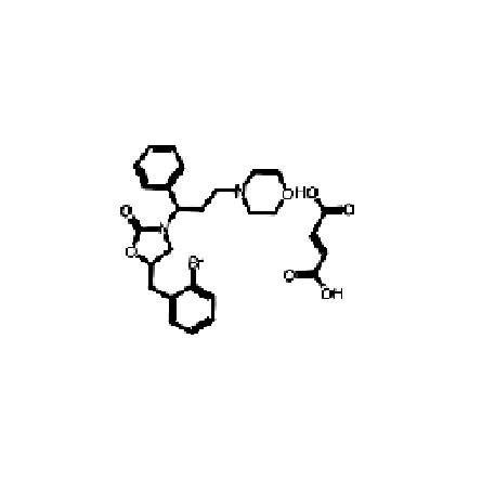 O=C(O)C=CC(=O)O.O=C1OC(Cc2ccccc2Br)CN1C(CCN1CCOCC1)c1ccccc1